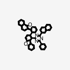 c1ccc(-c2nc(-c3ccc4ccccc4c3)nc(-c3c(-c4cccc5oc6c7ccccc7ccc6c45)ccc4oc5ccccc5c34)n2)cc1